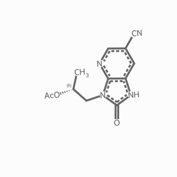 CC(=O)O[C@H](C)Cn1c(=O)[nH]c2cc(C#N)cnc21